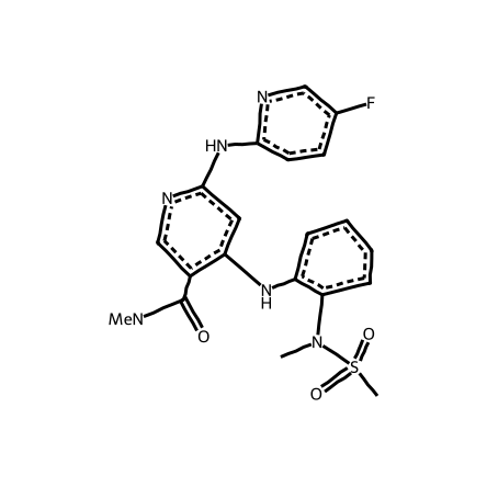 CNC(=O)c1cnc(Nc2ccc(F)cn2)cc1Nc1ccccc1N(C)S(C)(=O)=O